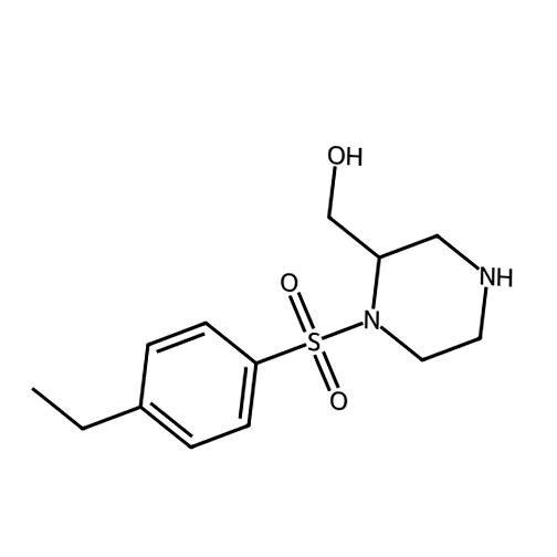 CCc1ccc(S(=O)(=O)N2CCNCC2CO)cc1